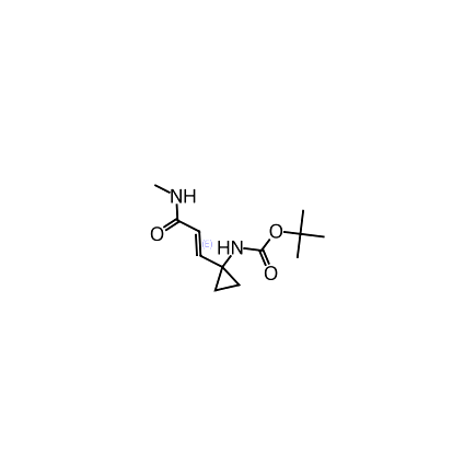 CNC(=O)/C=C/C1(NC(=O)OC(C)(C)C)CC1